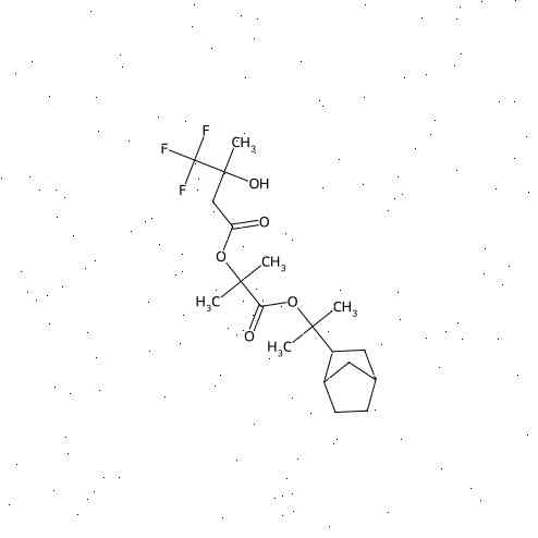 CC(C)(OC(=O)CC(C)(O)C(F)(F)F)C(=O)OC(C)(C)C1CC2CCC1C2